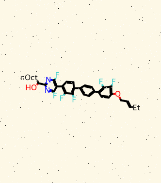 CC/C=C/COc1ccc(-c2ccc(-c3ccc(-c4c(F)nc(C(O)CCCCCCCC)nc4F)c(F)c3F)cc2)c(F)c1F